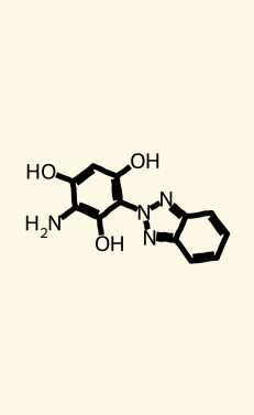 Nc1c(O)cc(O)c(-n2nc3ccccc3n2)c1O